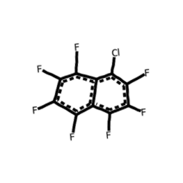 Fc1c(F)c(F)c2c(Cl)c(F)c(F)c(F)c2c1F